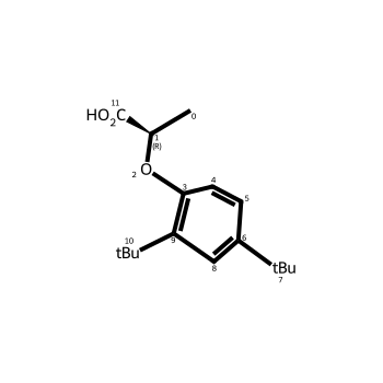 C[C@@H](Oc1ccc(C(C)(C)C)cc1C(C)(C)C)C(=O)O